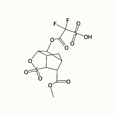 COC(=O)C1C2CC3C(OS(=O)(=O)C31)C2OC(=O)C(F)(F)S(=O)(=O)O